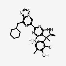 C=C1Nc2nc(-c3cn4ncnc4c(CC4CCCCC4)n3)nc(N)c2C1(C)c1ccc(C)c(O)c1Cl